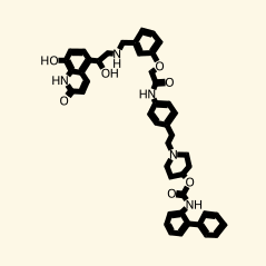 O=C(COc1cccc(CNCC(O)c2ccc(O)c3[nH]c(=O)ccc23)c1)Nc1ccc(CCN2CCC(OC(=O)Nc3ccccc3-c3ccccc3)CC2)cc1